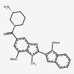 CCCCCn1c(-c2nc3cc(C(=O)N4CCC[C@@H](N)C4)cc(OC)c3n2C)cc2ccccc21